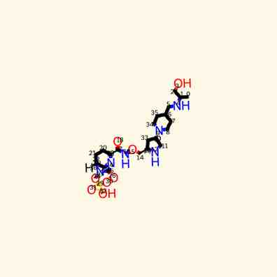 CC(CO)NCC1CCN([C@@H]2CN[C@@H](CONC(=O)[C@@H]3CC[C@@H]4CN3C(=O)N4OS(=O)(=O)O)C2)CC1